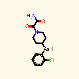 NC(=O)C(=O)N1CCC([AsH]c2ccccc2Cl)CC1